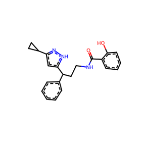 O=C(NCCC(c1ccccc1)c1cc(C2CC2)n[nH]1)c1ccccc1O